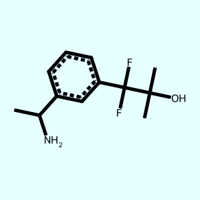 CC(N)c1cccc(C(F)(F)C(C)(C)O)c1